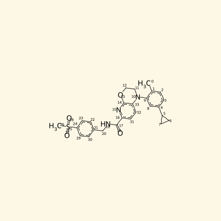 Cc1ccc(C2CC2)cc1N1CCOc2nc(C(=O)NCc3ccc(S(C)(=O)=O)cc3)ccc21